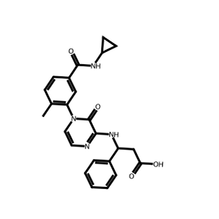 Cc1ccc(C(=O)NC2CC2)cc1-n1ccnc(NC(CC(=O)O)c2ccccc2)c1=O